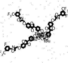 CC(C)(C)C(Oc1ccc(-c2coc3cc(OCc4coc(-c5cc(F)cc(C(F)(F)F)c5)n4)ccc3c2=O)cc1)(OP(=O)(OC(Oc1ccc(-c2coc3cc(OCc4coc(-c5cc(F)cc(C(F)(F)F)c5)n4)ccc3c2=O)cc1)(C(C)(C)C)C(C)(C)C)OC(Oc1ccc(-c2coc3cc(OCc4coc(-c5cc(F)cc(C(F)(F)F)c5)n4)ccc3c2=O)cc1)(C(C)(C)C)C(C)(C)C)C(C)(C)C